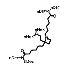 CCCCCCCCCCN(CCCCCCCCCC)C(=O)CCCCCN1CCC1(CCCCCC(=O)N(CCCCCCCCCC)CCCCCCCCCC)CCN(CCCCCC)CCCCCC